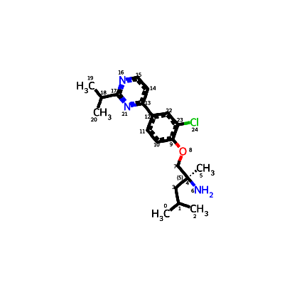 CC(C)C[C@](C)(N)COc1ccc(-c2ccnc(C(C)C)n2)cc1Cl